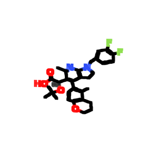 Cc1nc2c(c(-c3ccc4c(c3C)CCCO4)c1[C@H](OC(C)(C)C)C(=O)O)CCN2Cc1ccc(F)c(F)c1